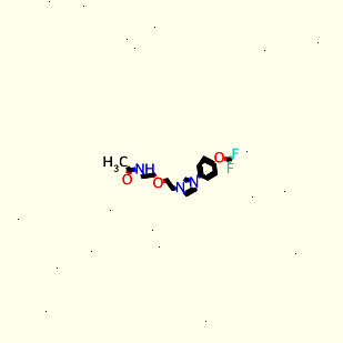 CC(=O)NCCOCCN1C=CN(c2ccc(OC(F)F)cc2)C1